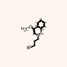 COC1=CN(CCCBr)Sc2ccccc21